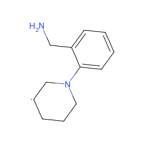 NCc1ccccc1N1C[CH]CCC1